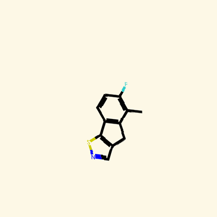 Cc1c(F)ccc2c1Cc1cnsc1-2